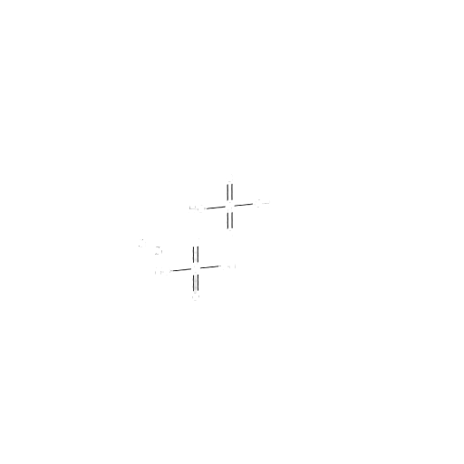 O=S(=O)(O)O.O=S(=O)(O)O.[Zr].[Zr]